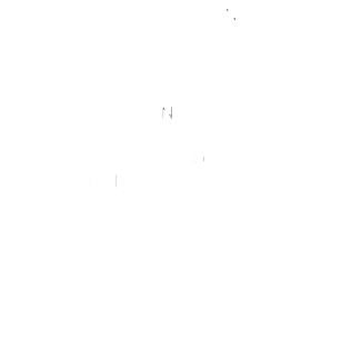 Cl.c1ccc(CON=C2CNC2)cc1